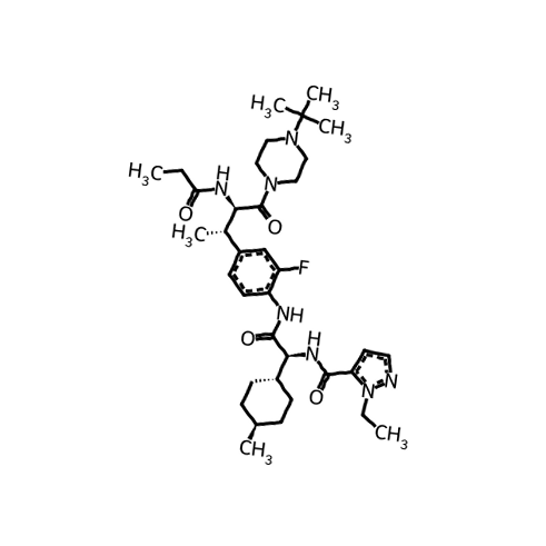 CCC(=O)N[C@@H](C(=O)N1CCN(C(C)(C)C)CC1)[C@@H](C)c1ccc(NC(=O)[C@@H](NC(=O)c2ccnn2CC)[C@H]2CC[C@H](C)CC2)c(F)c1